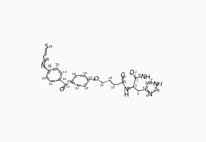 NC(=O)C(Cc1c[nH]cn1)NC(=O)CCCOc1ccc(C(=O)c2ccc(N=C=S)cc2)cc1